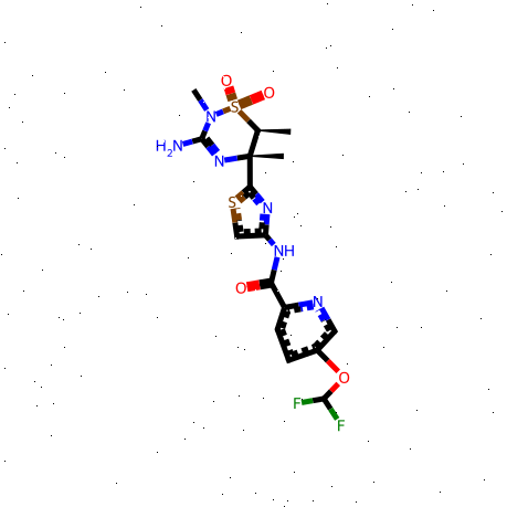 C[C@H]1[C@](C)(c2nc(NC(=O)c3ccc(OC(F)F)cn3)cs2)N=C(N)N(C)S1(=O)=O